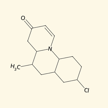 CC1CC2CC(Cl)CCC2N2C=CC(=O)CC12